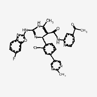 CC(=O)c1ccnc(NC(=O)C2=C(C)NC(Nc3nc4ccc(F)cc4o3)=NC2c2ccc(-c3cnc(C)nc3)cc2Cl)c1